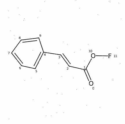 O=C(/C=C/c1ccccc1)OF